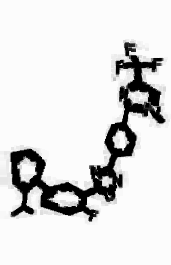 CC(C)c1ccccc1-c1ccc(F)c(-c2nc(-c3ccc(-c4nc(C(F)(F)F)cn4C)cc3)no2)c1